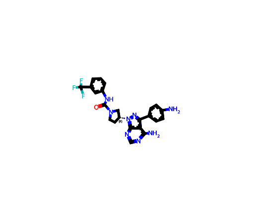 Nc1ccc(-c2nn([C@@H]3CCN(C(=O)Nc4cccc(C(F)(F)F)c4)C3)c3ncnc(N)c23)cc1